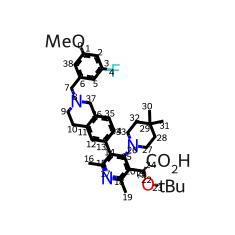 COc1cc(F)cc(CN2CCc3cc(-c4c(C)nc(C)c([C@H](OC(C)(C)C)C(=O)O)c4N4CCC(C)(C)CC4)ccc3C2)c1